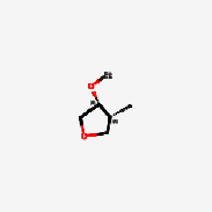 CCO[C@H]1COC[C@H]1C